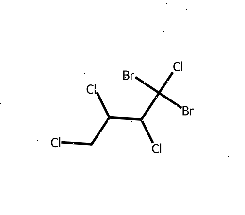 ClCC(Cl)C(Cl)C(Cl)(Br)Br